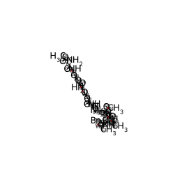 COC(=O)[C@@H](N)CCC(=O)NCCOCCOCC(=O)NCCOCCOCC(=O)NCc1ncc(-c2ccc3c(c2)c(C(C)=O)nn3CC(=O)N2[C@H](C(=O)Nc3nc(Br)ccc3C)C[C@@]3(C)C[C@@H]23)cn1